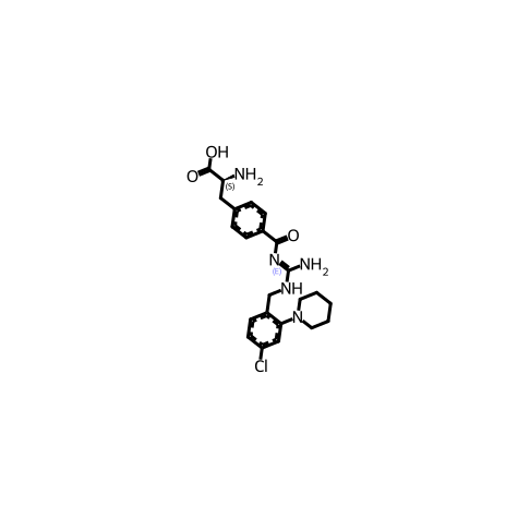 N/C(=N\C(=O)c1ccc(C[C@H](N)C(=O)O)cc1)NCc1ccc(Cl)cc1N1CCCCC1